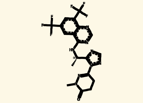 C[C@H](Nc1ncnc2c(C(F)(F)F)cc(C(F)(F)F)cc12)c1ncnn1C1=NN(C)C(=O)CC1